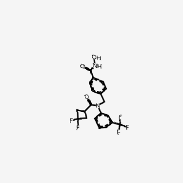 O=C(NO)c1ccc(CN(C(=O)C2CC(F)(F)C2)c2cccc(C(F)(F)F)c2)cc1